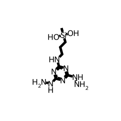 C[Si](O)(O)CCCNc1nc(NN)nc(NN)n1